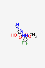 COC(=O)c1cc(F)c(F)cc1NC(=O)c1nnc(-n2ccnc2)cc1CO